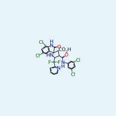 O=C(Nc1cc(Cl)cc(Cl)c1)C1C(C(F)(F)c2ccccn2)NC2(C(=O)Nc3c(Cl)cc(Cl)cc32)C1C(=O)O